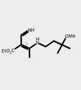 CCOC(=O)/C(C=N)=C(\C)NCCC(C)(C)OC